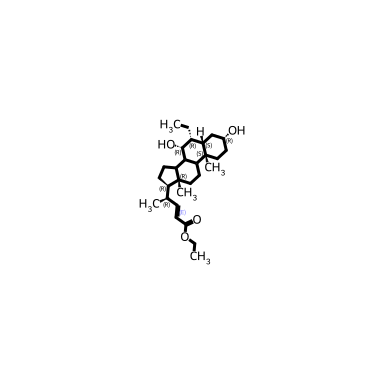 CCOC(=O)/C=C/[C@@H](C)[C@H]1CCC2C3C(CC[C@@]21C)[C@@]1(C)CC[C@@H](O)C[C@H]1[C@@H](CC)[C@H]3O